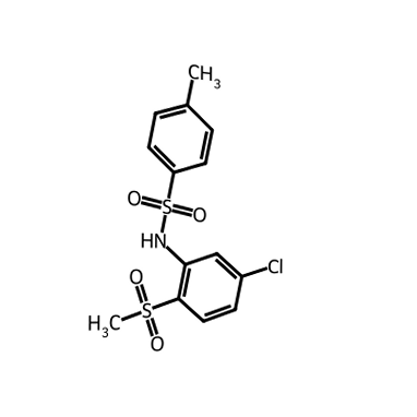 Cc1ccc(S(=O)(=O)Nc2cc(Cl)ccc2S(C)(=O)=O)cc1